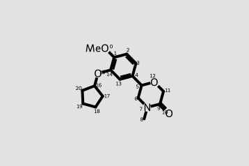 COc1ccc(C2CN(C)C(=O)CO2)cc1OC1CCCC1